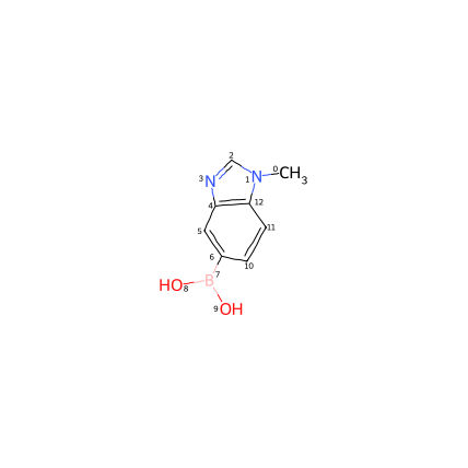 Cn1cnc2cc(B(O)O)ccc21